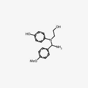 COc1ccc(C(N)N(CCO)c2ccc(O)cc2)cc1